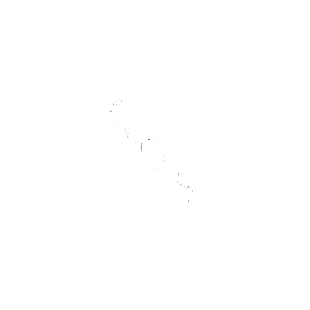 CNCCC1CCC(/C=C/CO)CC1